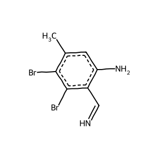 Cc1cc(N)c(C=N)c(Br)c1Br